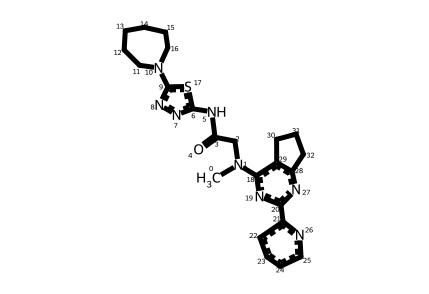 CN(CC(=O)Nc1nnc(N2CCCCCC2)s1)c1nc(-c2ccccn2)nc2c1CCC2